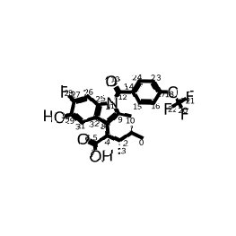 CC[C@H](C)C(C(=O)O)c1c(C)n(C(=O)c2ccc(OC(F)(F)F)cc2)c2cc(F)c(O)cc12